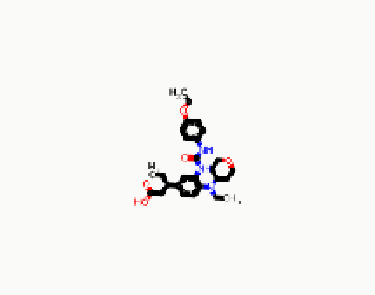 CCOc1ccc(NC(=O)Nc2cc(C(CC)CC(=O)O)ccc2N(CC)C2CCOCC2)cc1